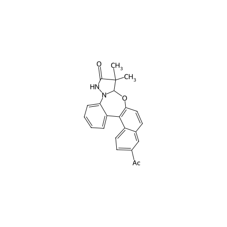 CC(=O)c1ccc2c3c(ccc2c1)OC1N(NC(=O)C1(C)C)c1ccccc1-3